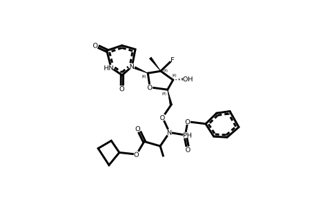 CC(C(=O)OC1CCC1)N(OC[C@H]1O[C@@H](n2ccc(=O)[nH]c2=O)[C@](C)(F)[C@@H]1O)[PH](=O)Oc1ccccc1